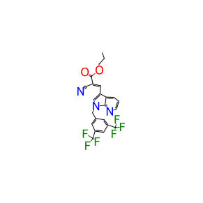 CCCOC(=O)/C(C#N)=C/c1cn(Cc2cc(C(F)(F)F)cc(C(F)(F)F)c2)c2ncccc12